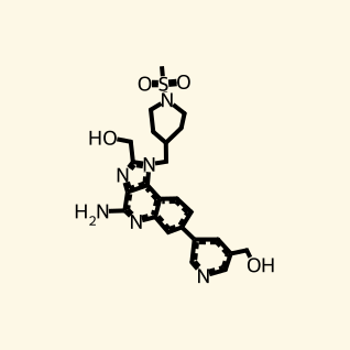 CS(=O)(=O)N1CCC(Cn2c(CO)nc3c(N)nc4cc(-c5cncc(CO)c5)ccc4c32)CC1